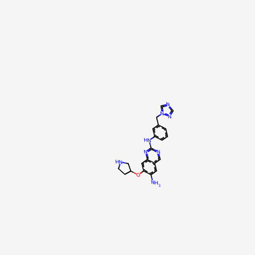 Nc1cc2cnc(Nc3cccc(Cn4cncn4)c3)nc2cc1OC1CCNC1